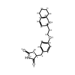 O=C1NC(=O)C(Cc2ccc(OCCc3ccc4c(n3)CCCC4)cc2)S1